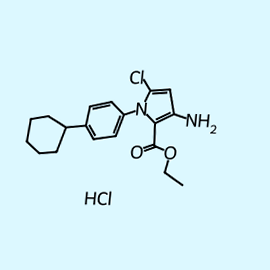 CCOC(=O)c1c(N)cc(Cl)n1-c1ccc(C2CCCCC2)cc1.Cl